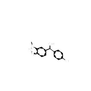 Cn1nnc2ccc(C(O)c3ccc(Cl)cc3)cc21